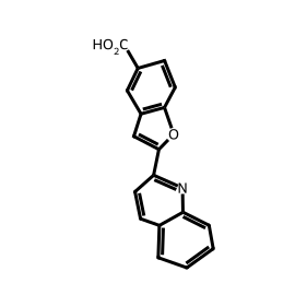 O=C(O)c1ccc2oc(-c3ccc4ccccc4n3)cc2c1